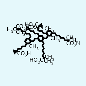 Cc1cc(CCCCCCC(C)(C)C(=O)O)c(C)c(Cc2cc(CCCCC3(C(=O)O)CC3)c(CCc3c(CCCCCCC(C)(C)C(=O)O)ccc(CCCCC4(C(=O)O)CC4)c3C)cc2CCCCCCC(C)(C)C(=O)O)c1CCCCC1(C(=O)O)CC1